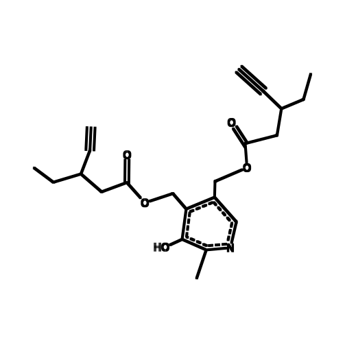 C#CC(CC)CC(=O)OCc1cnc(C)c(O)c1COC(=O)CC(C#C)CC